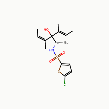 CC=C(C)C(O)(C(C)=CC)[C@@H](NS(=O)(=O)c1ccc(Cl)s1)[C@@H](C)CC